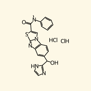 CN(C(=O)c1cn2c(nc3cc(C(O)c4ncc[nH]4)ccc32)s1)c1ccccc1.Cl.Cl